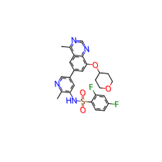 Cc1ncc(-c2cc(OC3CCOCC3)c3ncnc(C)c3c2)cc1NS(=O)(=O)c1ccc(F)cc1F